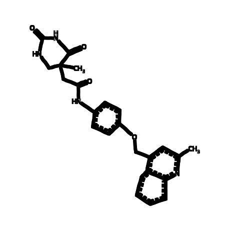 Cc1cc(COc2ccc(NC(=O)CC3(C)CNC(=O)NC3=O)cc2)c2ccccc2n1